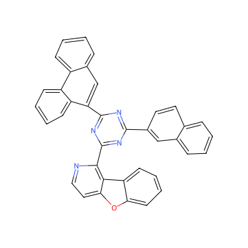 c1ccc2cc(-c3nc(-c4cc5ccccc5c5ccccc45)nc(-c4nccc5oc6ccccc6c45)n3)ccc2c1